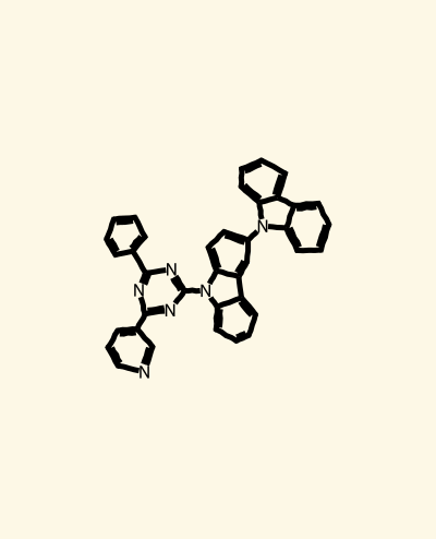 c1ccc(-c2nc(-c3cccnc3)nc(-n3c4ccccc4c4cc(-n5c6ccccc6c6ccccc65)ccc43)n2)cc1